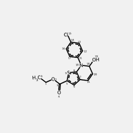 CCOC(=O)c1cc2c(s1)N(c1ccc(Cl)cc1)C(O)C=C2